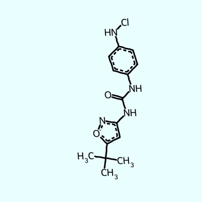 CC(C)(C)c1cc(NC(=O)Nc2ccc(NCl)cc2)no1